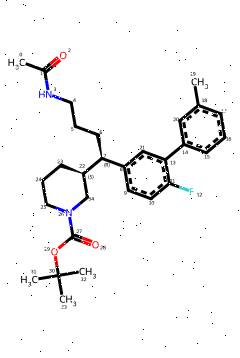 CC(=O)NCCC[C@@H](c1ccc(F)c(-c2cccc(C)c2)c1)[C@@H]1CCCN(C(=O)OC(C)(C)C)C1